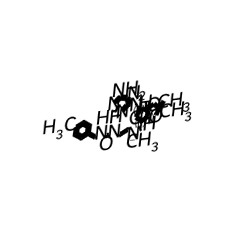 Cc1ccc(CNC(=O)NCCN(C)C[C@H]2O[C@@H](n3cnc4c(N)ncnc43)[C@@H]3OC(C)(C)O[C@@H]32)cc1